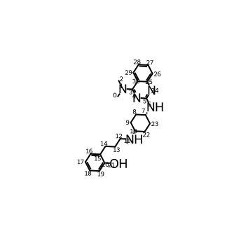 CN(C)c1nc(N[C@H]2CC[C@@H](NCCCc3ccccc3O)CC2)nc2ccccc12